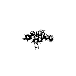 CCCC(NC(=O)c1ccc(C)cc1)C(=O)N1C(C(=O)Cc2cccnc2)CC2NCC(=O)C21